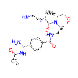 CN/C(=C\C=N)C(=O)N1CCOC[C@H]1CNC(=O)c1ccc(C(N)NC(=O)C(F)(F)F)cc1